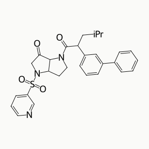 CC(C)CC(C(=O)N1CCC2C1C(=O)CN2S(=O)(=O)c1cccnc1)c1cccc(-c2ccccc2)c1